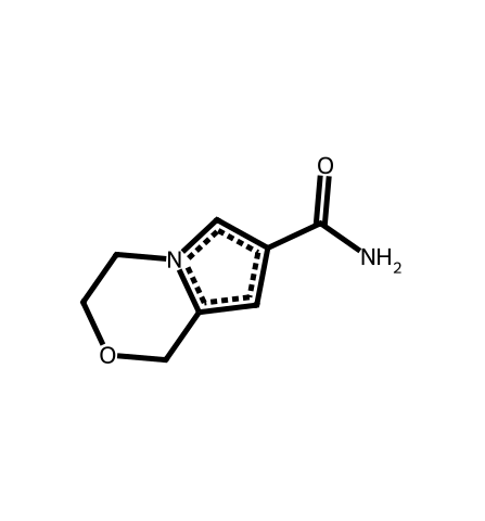 NC(=O)c1cc2n(c1)CCOC2